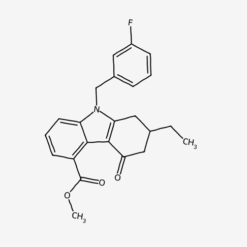 CCC1CC(=O)c2c(n(Cc3cccc(F)c3)c3cccc(C(=O)OC)c23)C1